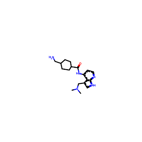 CN(C)Cc1c[nH]c2nccc(NC(=O)C3CCC(CN)CC3)c12